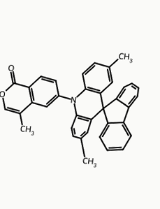 Cc1ccc2c(c1)C1(c3ccccc3-c3ccccc31)c1cc(C)ccc1N2c1ccc2c(=O)occ(C)c2c1